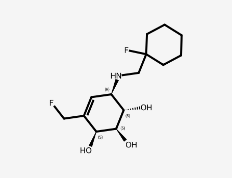 O[C@@H]1[C@@H](O)[C@@H](O)C(CF)=C[C@H]1NCC1(F)CCCCC1